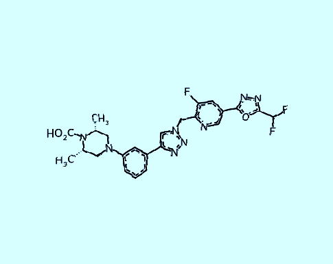 C[C@@H]1CN(c2cccc(-c3cn(Cc4ncc(-c5nnc(C(F)F)o5)cc4F)nn3)c2)C[C@H](C)N1C(=O)O